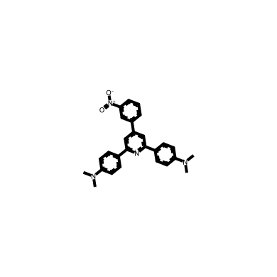 CN(C)c1ccc(-c2cc(-c3cccc([N+](=O)[O-])c3)cc(-c3ccc(N(C)C)cc3)n2)cc1